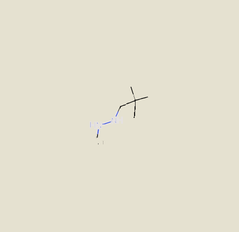 CC(C)NNCC(C)(C)C